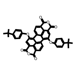 CC(C)(C)c1ccc(Oc2cc3c4c(ccc5c6c(Oc7ccc(C(C)(C)C)cc7)cc7c8c(ccc(c2c45)c86)C(=O)OC7=O)C(=O)OC3=O)cc1